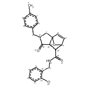 Cc1ccc(CN2CC34C=CC(O3)C(C(=O)NCc3ccccc3Cl)C4C2=O)cc1